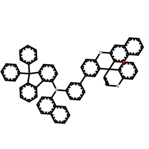 c1ccc(C2(c3ccccc3)c3ccccc3-c3c(N(c4cccc(-c5ccc6c(c5)C5(c7cc8ccccc8cc7O6)c6ccccc6Sc6ccccc65)c4)c4cccc5ccccc45)cccc32)cc1